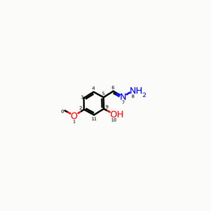 COc1ccc(C=NN)c(O)c1